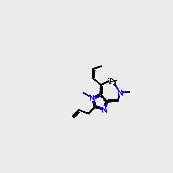 C=CCc1nc(=C/N(C)C)/c(=C(/C=C\C)C(C)C)n1C